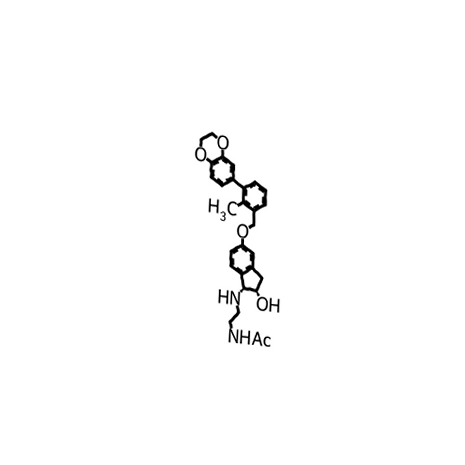 CC(=O)NCCN[C@H]1c2ccc(OCc3cccc(-c4ccc5c(c4)OCCO5)c3C)cc2C[C@H]1O